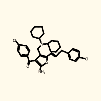 Nc1sc(/C=C/Cc2ccc(Cl)cc2)c(CN(C2CCCCC2)C2CCCCC2)c1C(=O)c1ccc(Cl)cc1